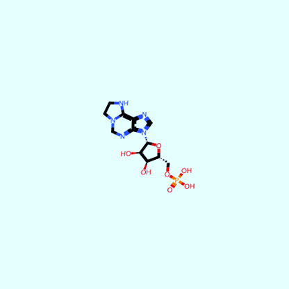 O=P(O)(O)OC[C@H]1O[C@@H](n2cnc3c2=NCN2CCNC=32)[C@H](O)[C@@H]1O